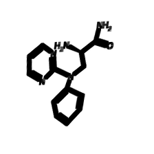 NC(=O)[C@H](N)CN(c1ccccc1)c1ncccn1